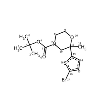 CC(C)(C)OC(=O)N1CCOC(C)(c2ccc(Br)s2)C1